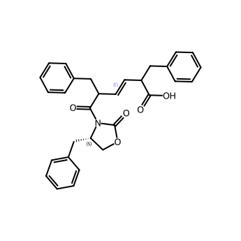 O=C(O)C(/C=C/C(Cc1ccccc1)C(=O)N1C(=O)OC[C@@H]1Cc1ccccc1)Cc1ccccc1